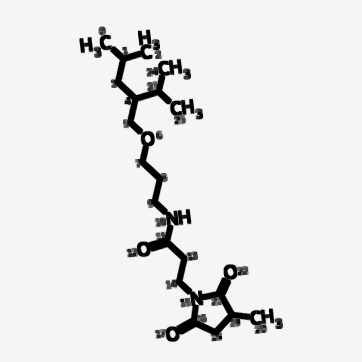 CC(C)CC(COCCCNC(=O)CCN1C(=O)CC(C)C1=O)C(C)C